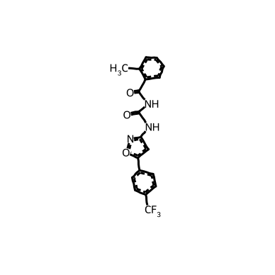 Cc1ccccc1C(=O)NC(=O)Nc1cc(-c2ccc(C(F)(F)F)cc2)on1